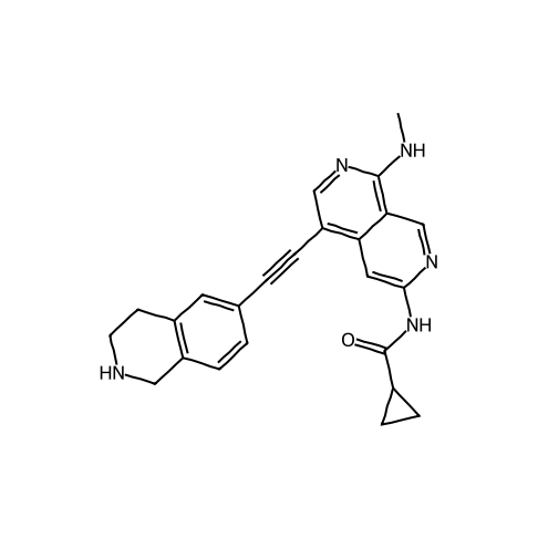 CNc1ncc(C#Cc2ccc3c(c2)CCNC3)c2cc(NC(=O)C3CC3)ncc12